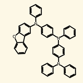 c1ccc(N(c2ccccc2)c2ccc(N(c3ccccc3)c3ccc(N(c4ccccc4)c4ccc5oc6ccccc6c5c4)cc3)cc2)cc1